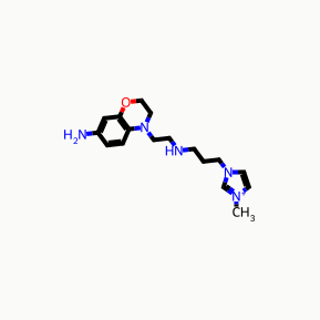 C[n+]1ccn(CCCNCCN2CCOc3cc(N)ccc32)c1